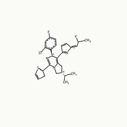 CC(F)/C=C1\C=CC(C2=C3C[C@H](C(C)C)CN3C(C3CC=CS3)=N[C@H]2c2ccc(F)cc2Cl)=N1